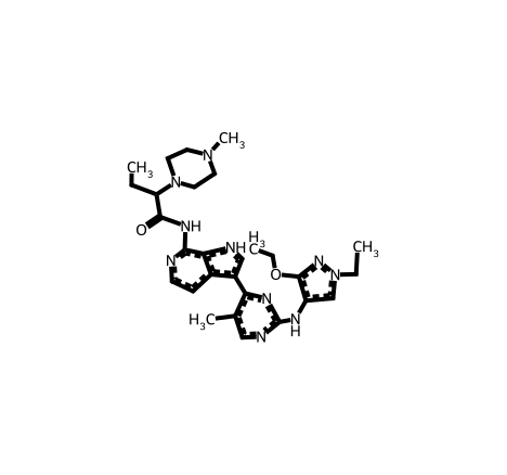 CCOc1nn(CC)cc1Nc1ncc(C)c(-c2c[nH]c3c(NC(=O)C(CC)N4CCN(C)CC4)nccc23)n1